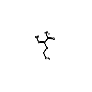 CCOC(=NO)C(N)=O